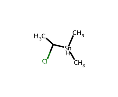 C[CH](Cl)[SnH]([CH3])[CH3]